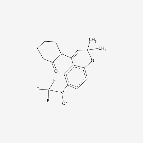 CC1(C)C=C(N2CCCCC2=O)c2cc([S+]([O-])C(F)(F)F)ccc2O1